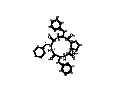 O=C1N[C@H](CC2CCCCC2)C(=O)N[C@@H](Cc2cccnc2)C(=O)N2CCC[C@@H]2C(=O)N[C@H]1Cc1ccccc1